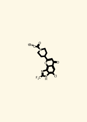 CC(C)(C)OC(=O)N1CCC(c2cc(=O)c3cc(Cl)c4[nH]c(C(F)(F)F)nc4c3o2)CC1